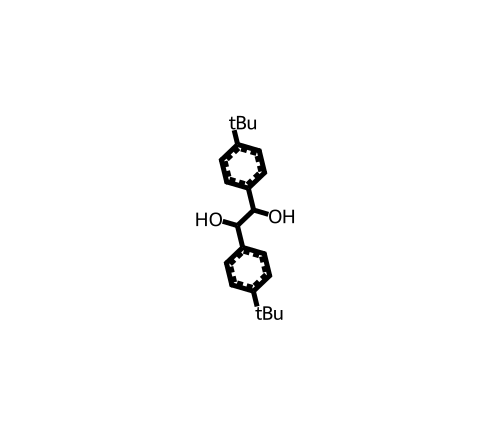 CC(C)(C)c1ccc(C(O)C(O)c2ccc(C(C)(C)C)cc2)cc1